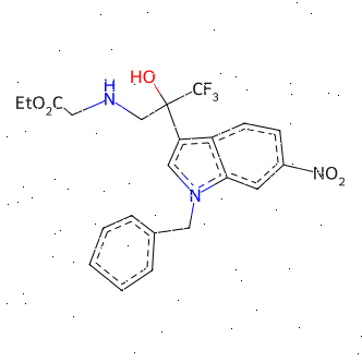 CCOC(=O)CNCC(O)(c1cn(Cc2ccccc2)c2cc([N+](=O)[O-])ccc12)C(F)(F)F